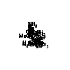 COc1cc2c(cc1OCCCOc1cc3c(cc1OC)C(=O)N1C=C(S(=O)(=O)C(F)(F)F)C[C@H]1C(=O)N3COCC[Si](C)(C)C)N(COCC[Si](C)(C)C)C[C@H]1C(=O)C(c3ccc(N)cc3)=CN1C2=O